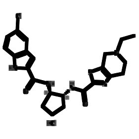 CCN1CCc2nc(C(=O)N[C@@H]3CCC[C@H]3NC(=O)c3cc4cc(Cl)ccc4[nH]3)sc2C1.Cl